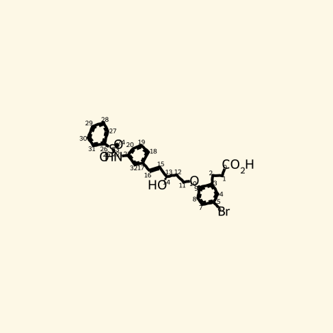 O=C(O)CCc1cc(Br)ccc1OCC[C@@H](O)/C=C/c1cccc(NS(=O)(=O)c2ccccc2)c1